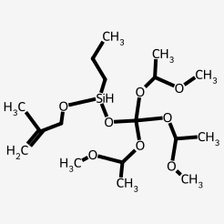 C=C(C)CO[SiH](CCC)OC(OC(C)OC)(OC(C)OC)OC(C)OC